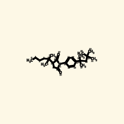 CCCCC(C)(C)C1CC(=O)N(c2ccc(C(C)(C)CC(C)(C)C)cc2)C1=O